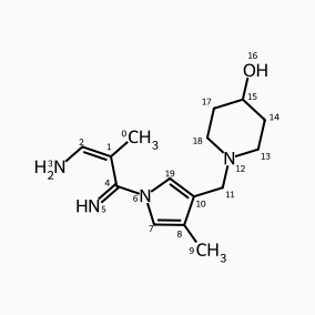 C/C(=C/N)C(=N)n1cc(C)c(CN2CCC(O)CC2)c1